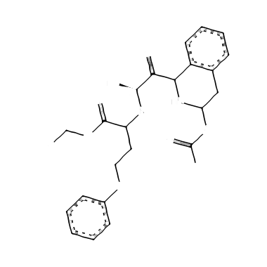 CCOC(=O)C(CCSc1ccccc1)N[C@@H](C)C(=O)C1NC(OC(=O)O)Cc2ccccc21